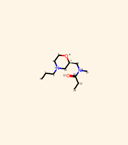 CCCN1CCO[C@@H](CN(C)C(=O)CC)C1